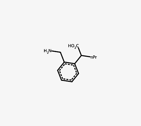 CCCC(C(=O)O)c1ccccc1CN